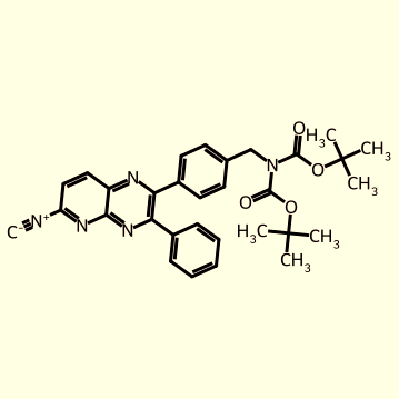 [C-]#[N+]c1ccc2nc(-c3ccc(CN(C(=O)OC(C)(C)C)C(=O)OC(C)(C)C)cc3)c(-c3ccccc3)nc2n1